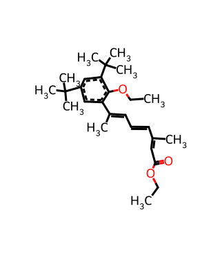 CCOC(=O)C=C(C)C=CC=C(C)c1cc(C(C)(C)C)cc(C(C)(C)C)c1OCC